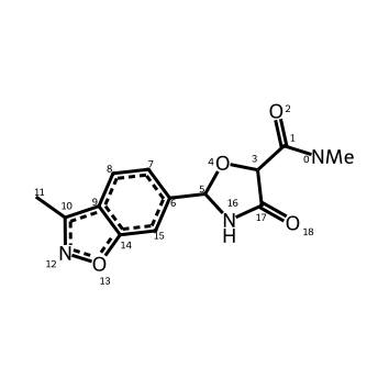 CNC(=O)C1OC(c2ccc3c(C)noc3c2)NC1=O